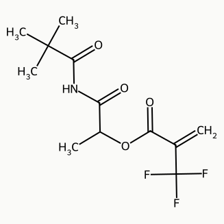 C=C(C(=O)OC(C)C(=O)NC(=O)C(C)(C)C)C(F)(F)F